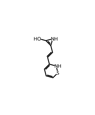 OC1=C(C=CC2=CC=CSN2)N1